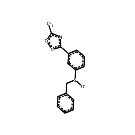 [O-][S+](Cc1ccccc1)c1[c]ccc(-c2noc(C(F)(F)F)n2)c1